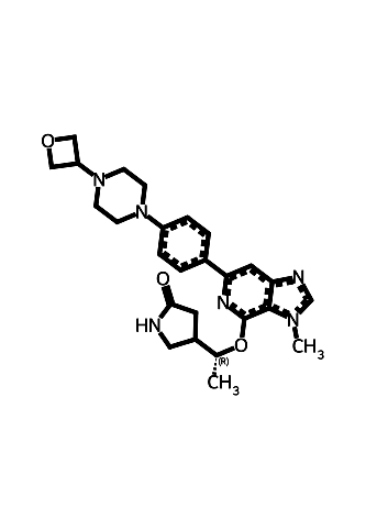 C[C@@H](Oc1nc(-c2ccc(N3CCN(C4COC4)CC3)cc2)cc2ncn(C)c12)C1CNC(=O)C1